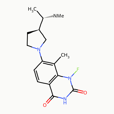 CN[C@@H](C)[C@@H]1CCN(c2ccc3c(=O)[nH]c(=O)n(F)c3c2C)C1